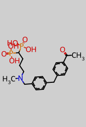 CC(=O)c1ccc(Cc2ccc(CN(C)CCCC(P(=O)(O)O)P(=O)(O)O)cc2)cc1